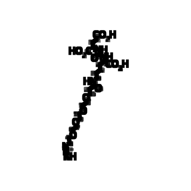 N=[N+]=NCCOCCOCCOCCOCCC(=O)NCCCC[C@H](NC(=O)N[C@@H](CCC(=O)O)C(=O)O)C(=O)O